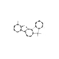 CC(C)c1cccc2c1sc1c3c(ccc12)C(C)(C)c1ccccc1-3